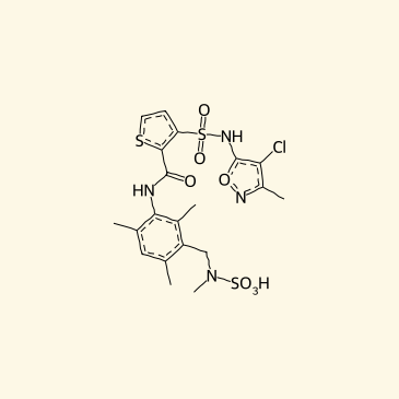 Cc1cc(C)c(NC(=O)c2sccc2S(=O)(=O)Nc2onc(C)c2Cl)c(C)c1CN(C)S(=O)(=O)O